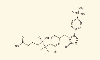 CC(C)(C)C(=O)OCOP(=O)(O)C(F)(F)c1ccc(Cn2c(-c3ccc(S(C)(=O)=O)cc3)c[nH]c2=O)cc1Br